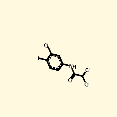 O=C(Nc1ccc(I)c(Cl)c1)C(Cl)Cl